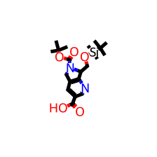 CC(C)(C)OC(=O)N1Cc2cc(C(=O)O)cnc2C1CO[Si](C)(C)C(C)(C)C